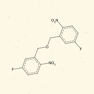 O=[N+]([O-])c1ccc(F)cc1COCc1cc(F)ccc1[N+](=O)[O-]